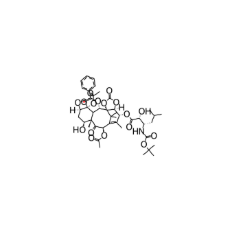 CC(=O)O[C@H]1C(=O)[C@@]2(C)C([C@H](OC(=O)c3ccccc3)[C@]34OC(=O)O[C@H]3[C@H](OC(=O)[C@H](O)[C@H](CC(C)C)NC(=O)OC(C)(C)C)C(C)=C1C4(C)C)[C@]1(OC(C)=O)CO[C@@H]1C[C@@H]2O